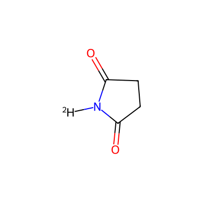 [2H]N1C(=O)CCC1=O